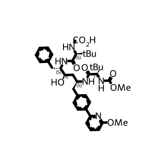 COC(=O)N[C@H](C(=O)N[C@@H](Cc1ccc(-c2cccc(OC)n2)cc1)C[C@H](O)[C@H](Cc1ccccc1)NC(=O)[C@@H](NC(=O)O)C(C)(C)C)C(C)(C)C